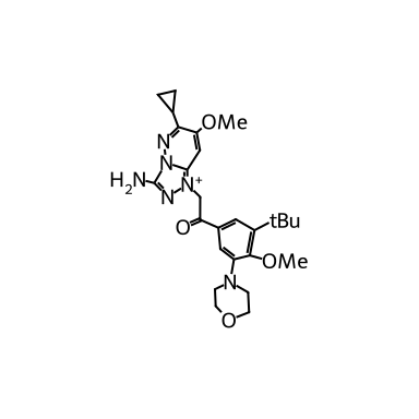 COc1cc2n(nc1C1CC1)c(N)n[n+]2CC(=O)c1cc(N2CCOCC2)c(OC)c(C(C)(C)C)c1